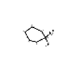 CC(=O)C1(F)CCCCC1